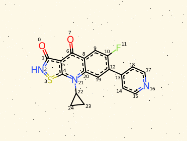 O=c1[nH]sc2c1c(=O)c1cc(F)c(-c3ccncc3)cc1n2C1CC1